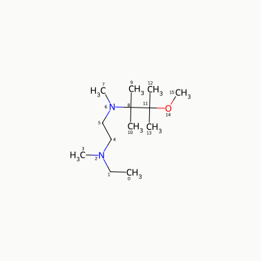 CCN(C)CCN(C)C(C)(C)C(C)(C)OC